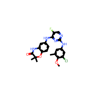 COc1c(C)cc(Nc2ncc(F)c(Nc3ccc4c(c3)NC(=O)C(C)(C)O4)n2)cc1Cl